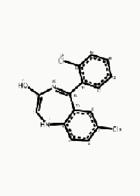 OC1=CNc2ccc(Cl)cc2C(c2ccccc2Cl)=N1